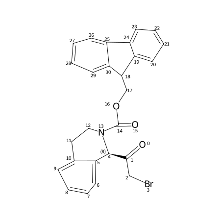 O=C(CBr)[C@H]1c2ccccc2CCN1C(=O)OCC1c2ccccc2-c2ccccc21